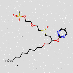 CCCCCCCCCCCCCCCCCCOCC(CC[S+]([O-])CCOCCOS(C)(=O)=O)Oc1ncccn1